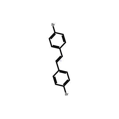 Brc1ccc(/C=C/c2ccc(Br)cc2)cc1